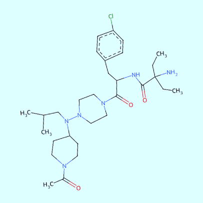 CCC(N)(CC)C(=O)NC(Cc1ccc(Cl)cc1)C(=O)N1CCN(N(CC(C)C)C2CCN(C(C)=O)CC2)CC1